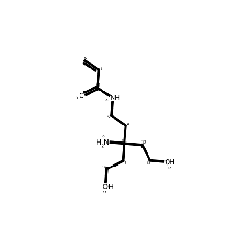 C=CC(=O)NCCC(N)(CCO)CCO